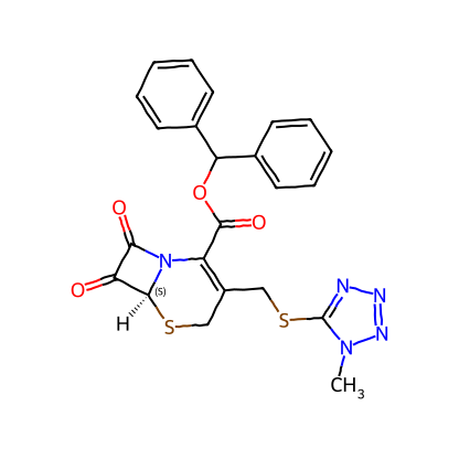 Cn1nnnc1SCC1=C(C(=O)OC(c2ccccc2)c2ccccc2)N2C(=O)C(=O)[C@@H]2SC1